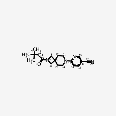 CC(C)(C)OC(=O)N1CC2(CCN(c3ccc(C#N)cn3)CC2)C1